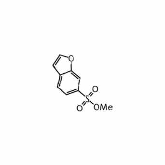 COS(=O)(=O)c1ccc2ccoc2c1